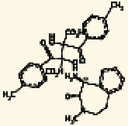 CN1CCc2ccccc2[C@H](N)C1=O.Cc1ccc(C(=O)C(O)(C(=O)O)C(O)(C(=O)O)C(=O)c2ccc(C)cc2)cc1